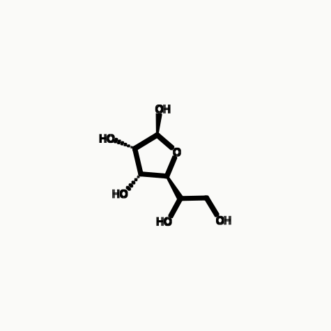 OCC(O)[C@@H]1O[C@H](O)[C@@H](O)[C@H]1O